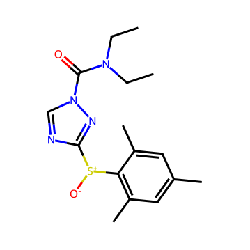 CCN(CC)C(=O)n1cnc([S+]([O-])c2c(C)cc(C)cc2C)n1